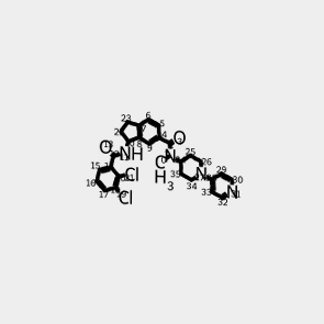 CN(C(=O)c1ccc2c(c1)C(NC(=O)c1cccc(Cl)c1Cl)CC2)C1CCN(c2ccncc2)CC1